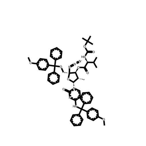 COc1ccc(C(Nc2ccn([C@@H]3O[C@@](COC(c4ccccc4)(c4ccccc4)c4ccc(OC)cc4)(N=[N+]=[N-])[C@@H](OC(=O)[C@@H](NC(=O)OC(C)(C)C)C(C)C)[C@@H]3C)c(=O)n2)(c2ccccc2)c2ccccc2)cc1